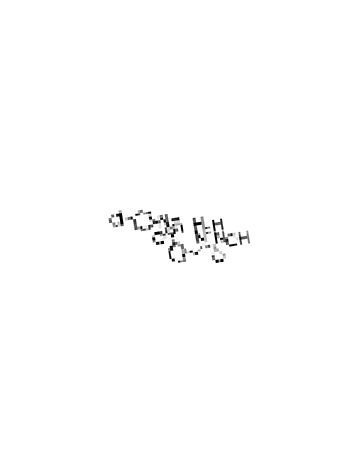 Cc1ccc(S(=O)(=O)Nc2ccc(Cl)cc2)cc1C[C@H](N)C(=O)NO